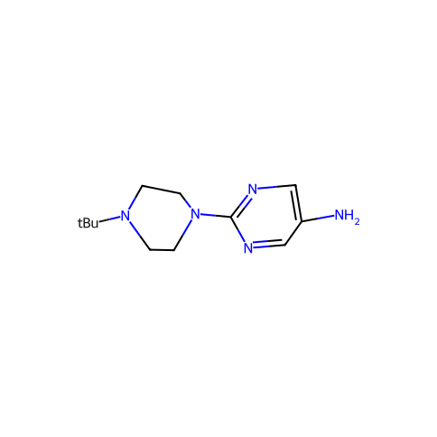 CC(C)(C)N1CCN(c2ncc(N)cn2)CC1